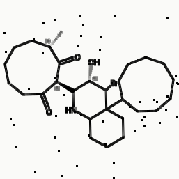 C[C@H]1CCCCCC(=O)[C@H](C2NC3CCCCC3(C3CCCCCCCC3)C(Br)[C@H]2O)C1=O